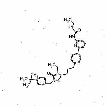 CCNC(=O)Nc1cccc(-c2ccc(CCCc3nn(Cc4ccc(C(C)(C)C)cc4)c(=O)n3CC)cc2)n1